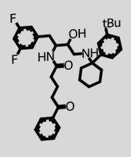 CC(C)(C)c1cccc(C2(NCC(O)C(Cc3cc(F)cc(F)c3)NC(=O)CCCC(=O)c3ccccc3)CCCCC2)c1